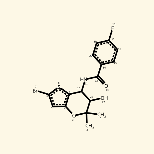 CC1(C)Oc2cc(Br)sc2C(NC(=O)c2ccc(F)cc2)C1O